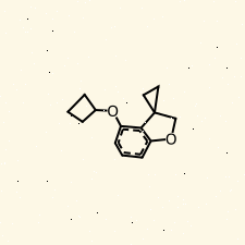 c1cc2c(c(OC3CCC3)c1)C1(CC1)CO2